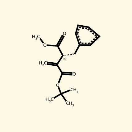 C=C(C(=O)OC(C)(C)C)[C@@H](Cc1ccccc1)C(=O)OC